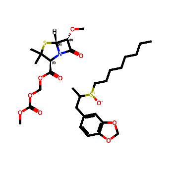 CCCCCCCC[S+]([O-])C(C)Cc1ccc2c(c1)OCO2.COC(=O)OCOC(=O)[C@@H]1N2C(=O)[C@@H](OC)[C@H]2SC1(C)C